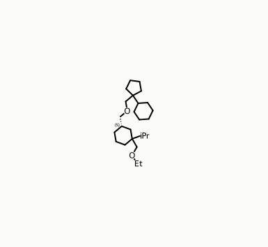 CCOCC1(C(C)C)CCC[C@H](COCC2(C3CCCCC3)CCCC2)C1